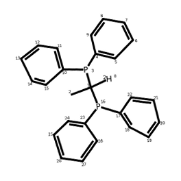 [2H]C(C)(P(c1ccccc1)c1ccccc1)P(c1ccccc1)c1ccccc1